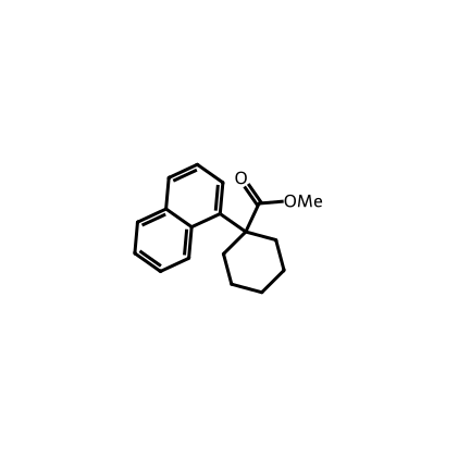 COC(=O)C1(c2cccc3ccccc23)CCCCC1